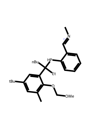 CCCCC(CC)(Pc1ccccc1/C=N/C)c1cc(C(C)(C)C)cc(C)c1OCOC